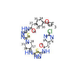 O=C(Cc1cnc(Cl)nc1)Nc1nnc(NC2CCN(c3nnc(NC(=O)Cc4ccc(OC(F)(F)F)cc4)s3)CC2)s1